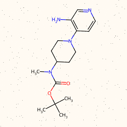 CN(C(=O)OC(C)(C)C)C1CCN(c2ccncc2N)CC1